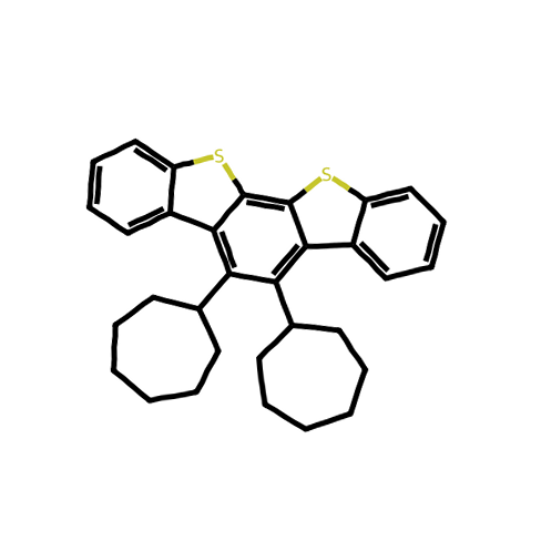 c1ccc2c(c1)sc1c3sc4ccccc4c3c(C3CCCCCC3)c(C3CCCCCC3)c21